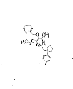 Cc1ccc(C2(Cc3nc(O)c(OCc4ccccc4)c(C(=O)O)n3)CCCC2)cc1